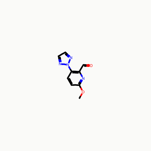 COc1ccc(-n2nccn2)c(C=O)n1